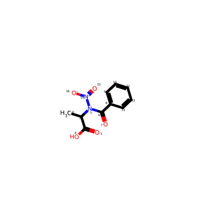 CC(C(=O)O)N(C(=O)c1ccccc1)[N+](=O)[O-]